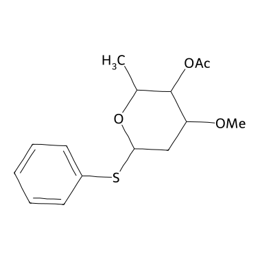 COC1CC(Sc2ccccc2)OC(C)C1OC(C)=O